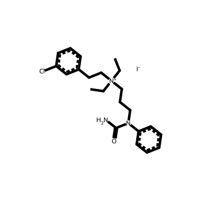 CC[N+](CC)(CCCN(C(N)=O)c1ccccc1)CCc1cccc(Cl)c1.[I-]